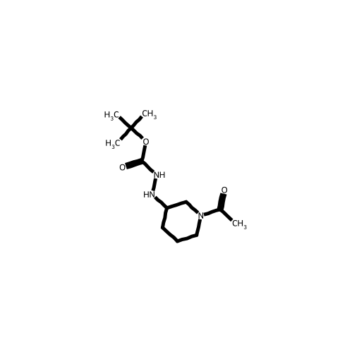 CC(=O)N1CCCC(NNC(=O)OC(C)(C)C)C1